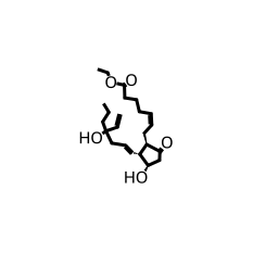 C=CC(O)(C/C=C/[C@H]1[C@H](O)CC(=O)[C@@H]1C/C=C\CCCC(=O)OCC)CCC